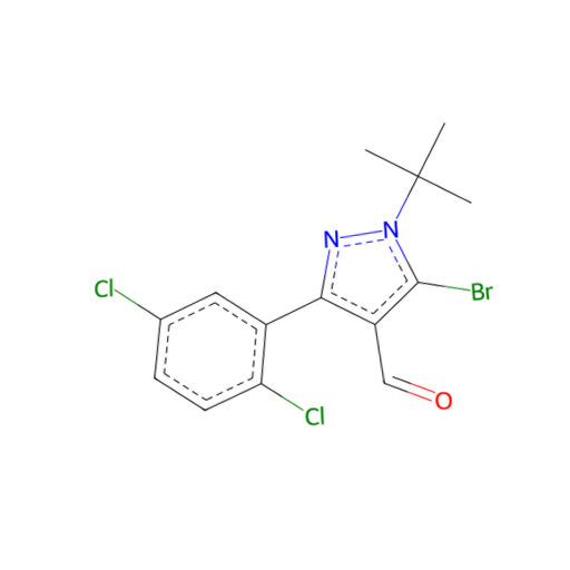 CC(C)(C)n1nc(-c2cc(Cl)ccc2Cl)c(C=O)c1Br